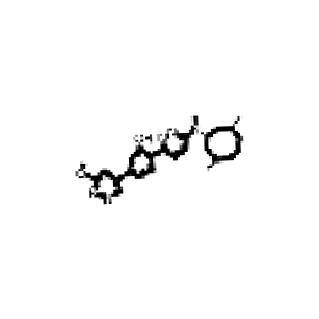 COc1cc(-c2ccc(-c3ccc(N(C)[C@H]4C[C@H](C)CCC[C@H](C)C4)nn3)c(O)c2)cnn1